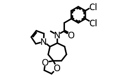 CN(C(=O)Cc1ccc(Cl)c(Cl)c1)C1CCCC2(CC1N1CC=CC1)OCCO2